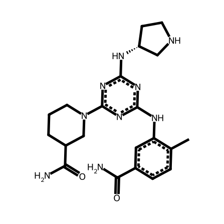 Cc1ccc(C(N)=O)cc1Nc1nc(N[C@@H]2CCNC2)nc(N2CCCC(C(N)=O)C2)n1